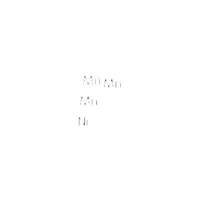 [Mn].[Mn].[Mn].[Ni]